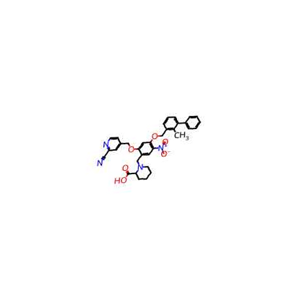 Cc1c(COc2cc(OCc3ccnc(C#N)c3)c(CN3CCCCC3C(=O)O)cc2[N+](=O)[O-])cccc1-c1ccccc1